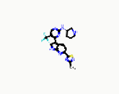 Cc1nsc(-c2ccc3c(-c4nc(N[C@H]5CCCNC5)ncc4C(F)(F)F)c[nH]c3n2)n1